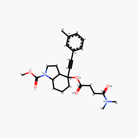 COC(=O)N1CCC2C1CCCC2(C#Cc1cccc(C)c1)OC(=O)CCC(=O)N(C)C